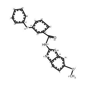 COc1ccc2nc(NC(=O)c3cccc([I+]c4ccccc4)c3)sc2c1